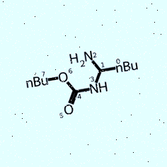 [CH2]CCCC(N)NC(=O)OCCCC